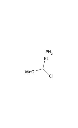 CCC(Cl)OC.P